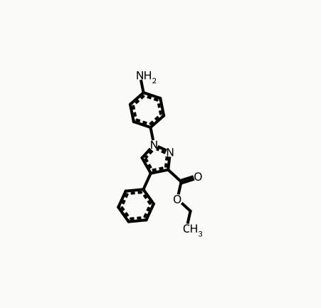 CCOC(=O)c1nn(-c2ccc(N)cc2)cc1-c1ccccc1